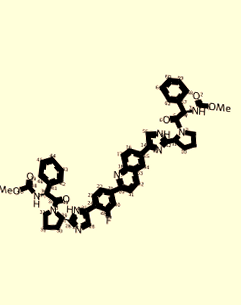 COC(=O)N[C@@H](C(=O)N1CCCC1c1nc(-c2ccc3nc(-c4ccc(-c5cnc([C@@H]6CCCN6C(=O)[C@H](NC(=O)OC)c6ccccc6)[nH]5)c(F)c4)ccc3c2)c[nH]1)c1ccccc1